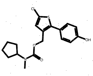 CN(C(=O)OCc1cc(Cl)sc1-c1ccc(O)cc1)C1CCCC1